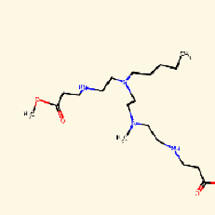 CCCCCN(CCNCCC(=O)OC)CCN(C)CCNCCC(=O)OC